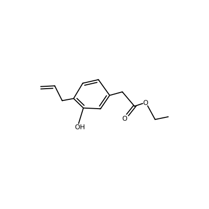 C=CCc1ccc(CC(=O)OCC)cc1O